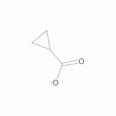 [O]C(=O)C1CC1